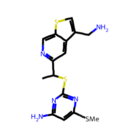 CSc1cc(N)nc(SC(C)c2cc3c(CN)csc3cn2)n1